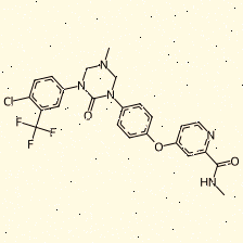 CNC(=O)c1cc(Oc2ccc(N3CN(C)CN(c4ccc(Cl)c(C(F)(F)F)c4)C3=O)cc2)ccn1